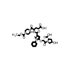 CCOC(=O)N1CCN(C(=O)C(CCC(=O)O)NC(=O)c2cc(OCC(=O)N3C[C@H](O)C[C@H]3C(=O)O)n(-c3ccccc3)n2)CC1